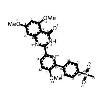 COc1cc(OC)c2c(=O)[nH]c(-c3ccc(OC)c(-c4ccc(S(C)(=O)=O)cc4)n3)nc2c1